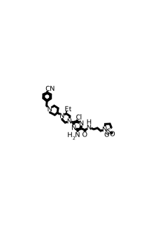 CC[C@H]1CN(c2nc(N)c(C(=O)NCCCN3CCCS3(=O)=O)nc2Cl)CCN1C1CCN(Cc2ccc(C#N)cc2)CC1